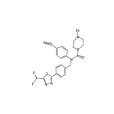 CCN1CCN(C(=O)N(Cc2ccc(-c3nnc(C(F)F)o3)cc2)c2ccc(OC)cc2)CC1